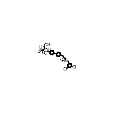 C[C@@H](O)[C@H](NC(=O)c1ccc(-c2ccc(CC(=O)CNCc3cc(Cl)cc(Cl)c3)cc2)cc1)C(=O)NO